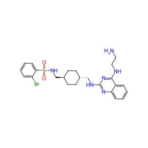 NCCNc1nc(NC[C@H]2CC[C@H](CNS(=O)(=O)c3ccccc3Br)CC2)nc2ccccc12